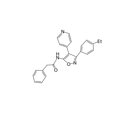 CCc1ccc(-c2noc(NC(=O)Cc3ccccc3)c2-c2ccncc2)cc1